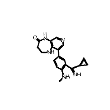 CNc1ccc(-c2cncc3c2NCCC(=O)N3)cc1C(=N)C1CC1